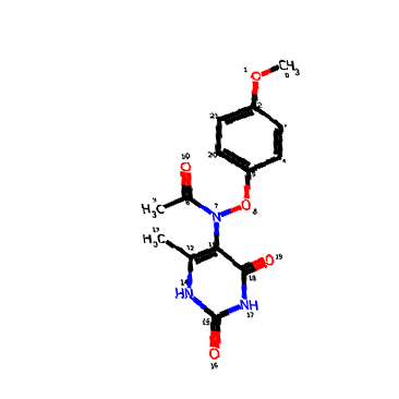 COc1ccc(ON(C(C)=O)c2c(C)[nH]c(=O)[nH]c2=O)cc1